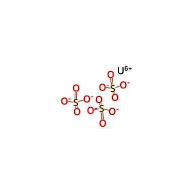 O=S(=O)([O-])[O-].O=S(=O)([O-])[O-].O=S(=O)([O-])[O-].[U+6]